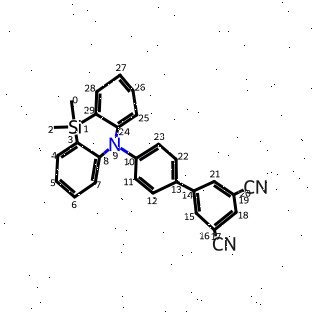 C[Si]1(C)c2ccccc2N(c2ccc(-c3cc(C#N)cc(C#N)c3)cc2)c2ccccc21